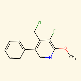 COc1ncc(-c2ccccc2)c(CCl)c1F